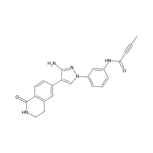 CC#CC(=O)Nc1cccc(-n2cc(-c3ccc4c(c3)CCNC4=O)c(N)n2)c1